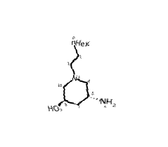 CCCCCCCCN1C[C@H](N)C[C@@H](O)C1